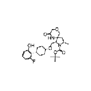 C[C@@H]1CC2(COCC(=O)N2)C(CO[C@H]2CC[C@@H](c3c(O)cccc3F)CC2)N1C(=O)OC(C)(C)C